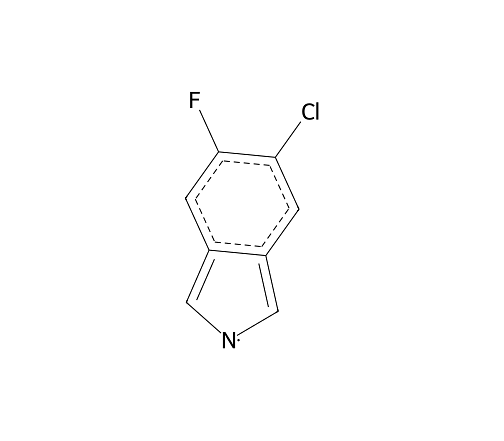 Fc1cc2c(cc1Cl)=C[N]C=2